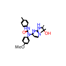 COc1ccc(N(C(=O)Nc2ccc(C)cc2)c2ccnc(N[C@@H](C)C(C)(C)O)n2)cc1